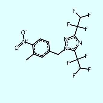 Cc1cc(Cn2nc(C(F)(F)C(F)F)nc2C(F)(F)C(F)F)ccc1[N+](=O)[O-]